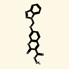 COC(=O)c1cc2ccc(OCn3nnc4ccccc43)cc2oc1=O